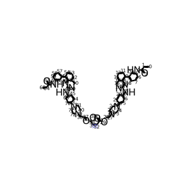 C=CC(=O)Nc1cccc(-c2cccc3cnc(Nc4ccc(N5CCN(CCOC(=O)/C=C\C(=O)OCCN6CCN(c7ccc(Nc8ncc9cccc(-c%10cccc(NC(=O)C=C)c%10)c9n8)cc7)CC6)CC5)cc4)nc23)c1